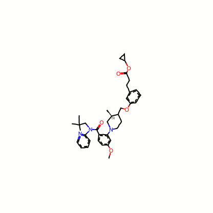 COc1ccc(C(=O)N(CC(C)(C)C)c2ccccn2)c(N2CCC(COc3cccc(CCC(=O)OC4CC4)c3)[C@H](C)C2)c1